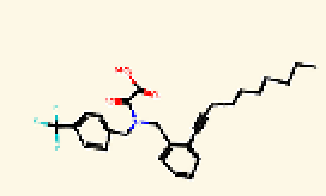 CCCCCCCCC#Cc1ccccc1CN(Cc1ccc(C(F)(F)F)cc1)C(=O)C(=O)O